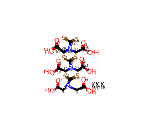 O=C(O)CN(CC(=O)O)C(=S)[S-].O=C(O)CN(CC(=O)O)C(=S)[S-].O=C(O)CN(CC(=O)O)C(=S)[S-].[K+].[K+].[K+]